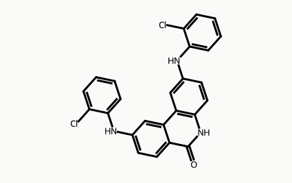 O=c1[nH]c2ccc(Nc3ccccc3Cl)cc2c2cc(Nc3ccccc3Cl)ccc12